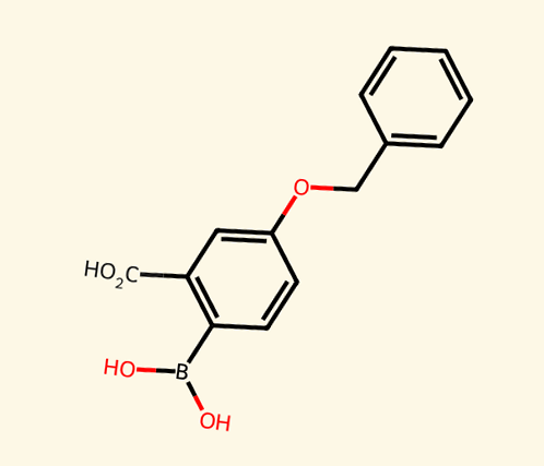 O=C(O)c1cc(OCc2ccccc2)ccc1B(O)O